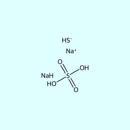 O=S(=O)(O)O.[Na+].[NaH].[SH-]